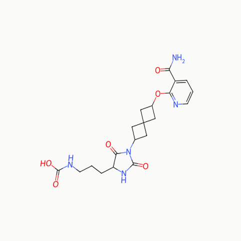 NC(=O)c1cccnc1OC1CC2(C1)CC(N1C(=O)NC(CCCNC(=O)O)C1=O)C2